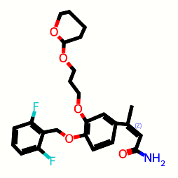 C/C(=C/C(N)=O)c1ccc(OCc2c(F)cccc2F)c(OCCCOC2CCCCO2)c1